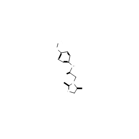 COc1ccc(NC(=O)CN2C(=O)CNC2=O)cc1